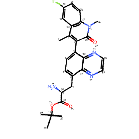 Cc1c(-c2ccc(C[C@H](N)C(=O)OC(C)(C)C)c3nccnc23)c(=O)n(C)c2ccc(F)cc12